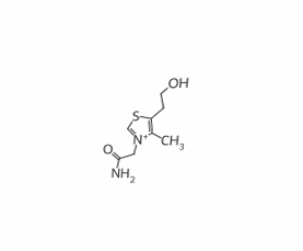 Cc1c(CCO)sc[n+]1CC(N)=O